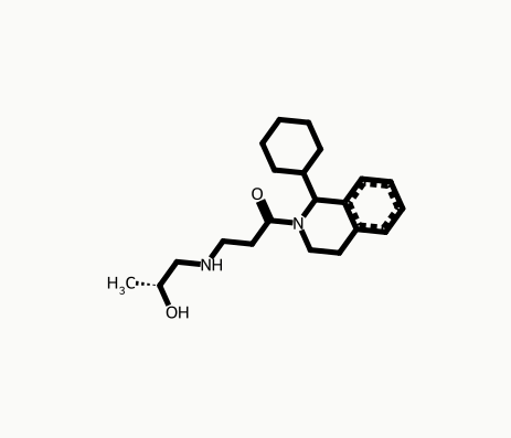 C[C@@H](O)CNCCC(=O)N1CCc2ccccc2C1C1CCCCC1